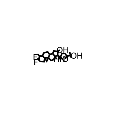 CC1C2CCC3C4CC(O)C(C5(C)CCC(C(C)(C)O)ON5)C4(C)CCC34CC24CCC1(F)F